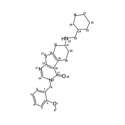 COc1ccccc1Cn1cnc2sc3c(c2c1=O)CCC(NCC1CCCCC1)C3